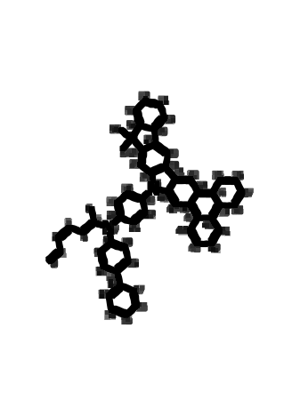 C=C/C=C\C=C(/C)N(c1ccc(-c2ccccc2)cc1)c1ccc(-n2c3cc4c(cc3c3cc5c6ccccc6c6ccccc6c5cc32)-c2ccccc2C4(C)C)cc1